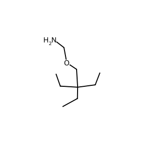 CCC(CC)(CC)COCN